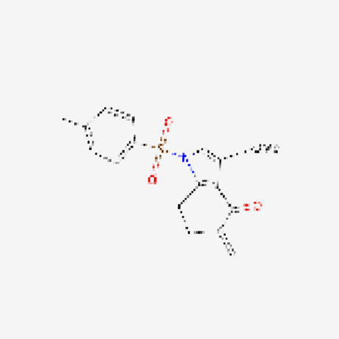 C=C1CCc2c(c(OC)cn2S(=O)(=O)c2ccc(C)cc2)C1=O